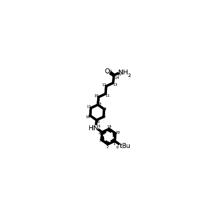 CC(C)(C)c1ccc(NC2CCC(CCCCC(N)=O)CC2)cc1